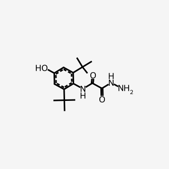 CC(C)(C)c1cc(O)cc(C(C)(C)C)c1NC(=O)C(=O)NN